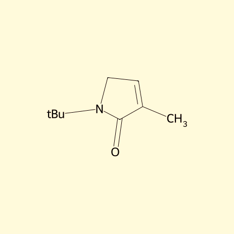 CC1=CCN(C(C)(C)C)C1=O